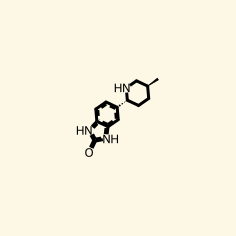 C[C@H]1CC[C@H](c2ccc3[nH]c(=O)[nH]c3c2)NC1